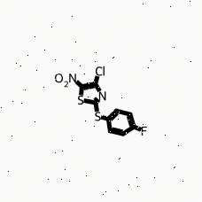 O=[N+]([O-])c1sc(Sc2ccc(F)cc2)nc1Cl